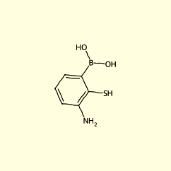 Nc1cccc(B(O)O)c1S